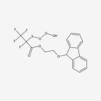 O=C(OCCOC1c2ccccc2-c2ccccc21)C(F)(SOOO)C(F)(F)F